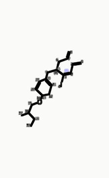 C=C/C=C(/I)[C@H](CC=C)CC1=CCC(OCC(C)CC)C=C1